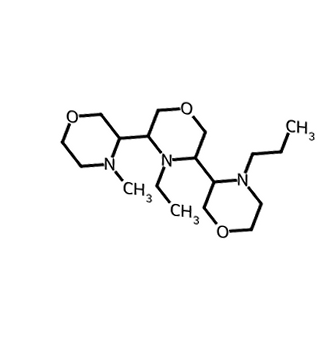 CCCN1CCOCC1C1COCC(C2COCCN2C)N1CC